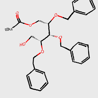 CC(C)(C)C(=O)OC[C@H](OCc1ccccc1)[C@H](OCc1ccccc1)[C@@H](CO)OCc1ccccc1